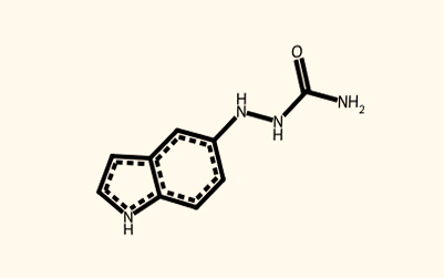 NC(=O)NNc1ccc2[nH]ccc2c1